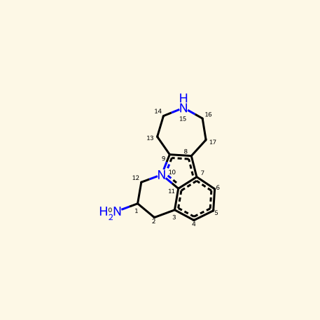 NC1Cc2cccc3c4c(n(c23)C1)CCNCC4